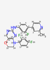 Cc1cc(-c2ccc(Nc3ncc4c(n3)N(c3ccc(F)cc3F)CCO4)cc2F)ccn1